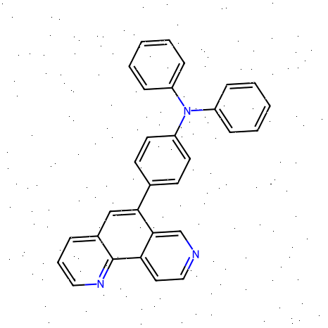 c1ccc(N(c2ccccc2)c2ccc(-c3cc4cccnc4c4ccncc34)cc2)cc1